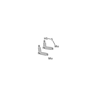 S[S][Mo].[B]#[Ni]#[B].[B]#[Ni]#[B].[Mo]